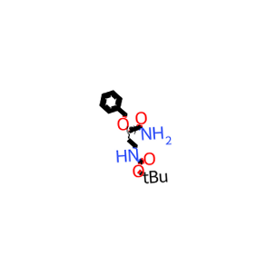 CC(C)(C)OC(=O)NCC[C@H](OCc1ccccc1)C(N)=O